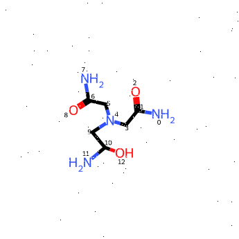 NC(=O)CN(CC(N)=O)CC(N)O